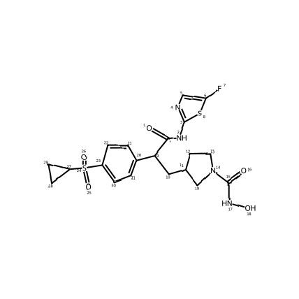 O=C(Nc1ncc(F)s1)C(CC1CCN(C(=O)NO)C1)c1ccc(S(=O)(=O)C2CC2)cc1